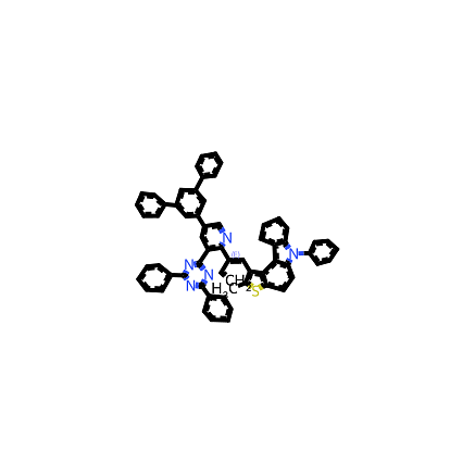 C=C/C(=C\c1c(C)sc2ccc3c(c4ccccc4n3-c3ccccc3)c12)c1ncc(-c2cc(-c3ccccc3)cc(-c3ccccc3)c2)cc1-c1nc(-c2ccccc2)nc(-c2ccccc2)n1